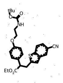 CCOC(=O)C(Cc1cc2cc(C#N)ccc2s1)c1ccc(OCCNC(=O)OC(C)(C)C)cc1